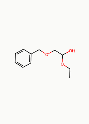 CCOC(O)COCc1ccccc1